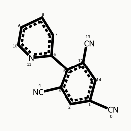 N#Cc1cc(C#N)c(-c2ccccn2)c(C#N)c1